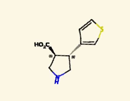 O=C(O)[C@@H]1CNC[C@H]1c1ccsc1